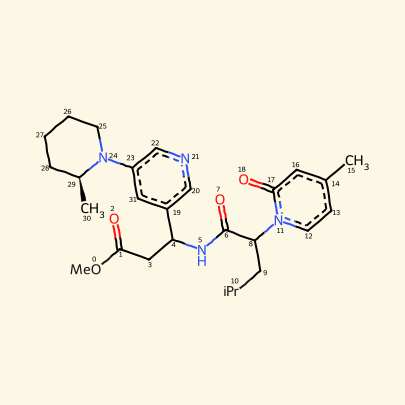 COC(=O)CC(NC(=O)C(CC(C)C)n1ccc(C)cc1=O)c1cncc(N2CCCC[C@@H]2C)c1